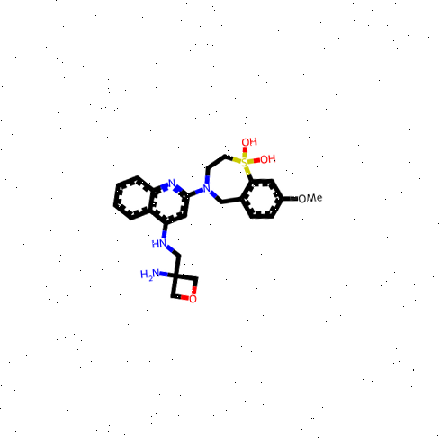 COc1ccc2c(c1)S(O)(O)CCN(c1cc(NCC3(N)COC3)c3ccccc3n1)C2